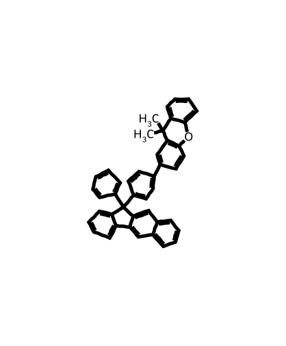 CC1(C)c2ccccc2Oc2ccc(-c3ccc(C4(c5ccccc5)c5ccccc5-c5cc6ccccc6cc54)cc3)cc21